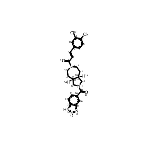 O=C(C=Cc1ccc(Cl)c(Cl)c1)N1CC[C@@H]2CN(C(=O)c3ccc4[nH]nnc4c3)C[C@@H]2CC1